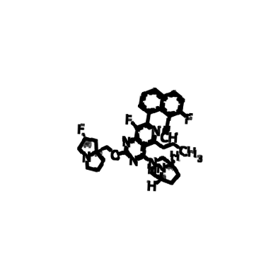 C#Cc1c(F)ccc2cccc(-c3nc(CCC)c4c(N5C[C@H]6CC[C@@H](C5)N6)nc(OC[C@@]56CCCN5C[C@H](F)C6)nc4c3F)c12